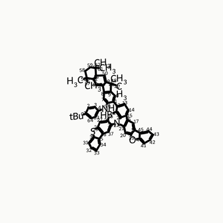 CC(C)(C)c1ccc(Nc2cc3c(cc2-c2ccc4c5cc6c(cc5n5c4c2Bc2cc4sc7ccccc7c4cc2-5)oc2ccccc26)C(C)(C)c2cc4c(cc2-3)C(C)(C)CCC4(C)C)cc1